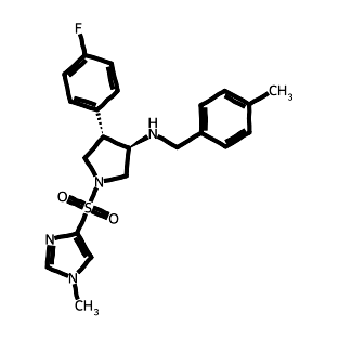 Cc1ccc(CN[C@H]2CN(S(=O)(=O)c3cn(C)cn3)C[C@@H]2c2ccc(F)cc2)cc1